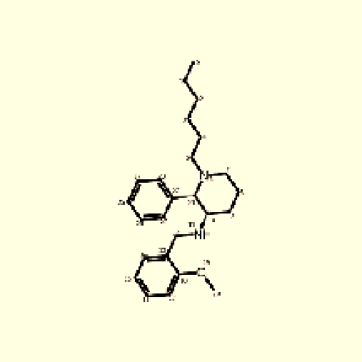 CCCCCCN1CCC[C@@H](NCc2ccccc2OC)[C@H]1c1ccccc1